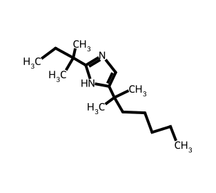 CCCCCC(C)(C)c1cnc(C(C)(C)CC)[nH]1